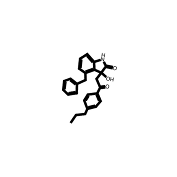 CCCc1ccc(C(=O)CC2(O)C(=O)Nc3cccc(Cc4ccccc4)c32)cc1